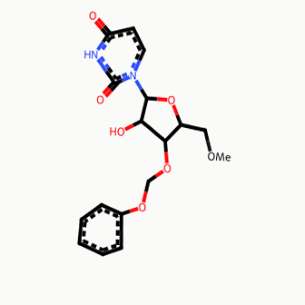 COCC1OC(n2ccc(=O)[nH]c2=O)C(O)C1OCOc1ccccc1